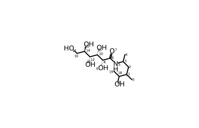 C[C](CC(C)NC(=O)[C@H](O)[C@@H](O)[C@H](O)[C@H](O)CO)C(C)O